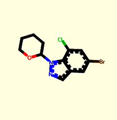 Clc1cc(Br)cc2cnn(C3CCCCO3)c12